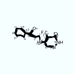 O=C(CCNc1cn[nH]c(=O)c1C(F)(F)F)c1ccccc1